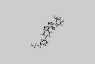 CCCCn1nnc(-c2ccc(NC(=O)Nc3ccccc3C)cc2)n1